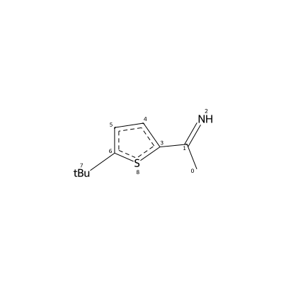 CC(=N)c1ccc(C(C)(C)C)s1